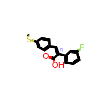 CSc1ccc(/C=C(\C(=O)O)c2cccc(F)c2)cc1